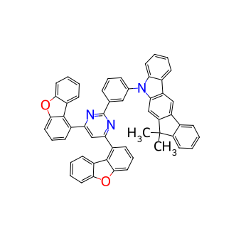 CC1(C)c2ccccc2-c2cc3c4ccccc4n(-c4cccc(-c5nc(-c6cccc7oc8ccccc8c67)cc(-c6cccc7oc8ccccc8c67)n5)c4)c3cc21